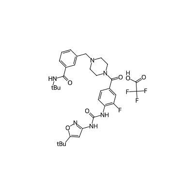 CC(C)(C)NC(=O)c1cccc(CN2CCN(C(=O)c3ccc(NC(=O)Nc4cc(C(C)(C)C)on4)c(F)c3)CC2)c1.O=C(O)C(F)(F)F